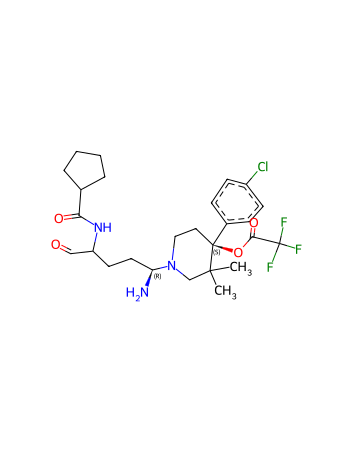 CC1(C)CN([C@@H](N)CCC(C=O)NC(=O)C2CCCC2)CC[C@]1(OC(=O)C(F)(F)F)c1ccc(Cl)cc1